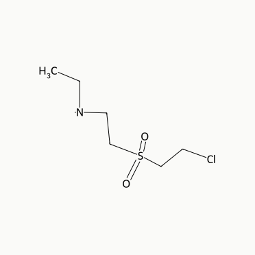 CC[N]CCS(=O)(=O)CCCl